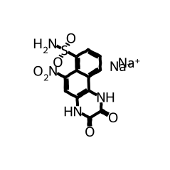 NS(=O)(=O)c1cccc2c1c([N+](=O)[O-])cc1[nH]c(=O)c(=O)[nH]c12.[Na+].[Na+]